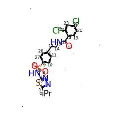 CC(C)c1nnc(NS(=O)(=O)c2ccc(CCNC(=O)c3ccc(Cl)cc3Cl)cc2)s1